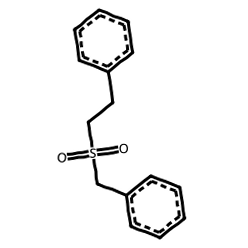 O=S(=O)(CCc1ccccc1)Cc1ccccc1